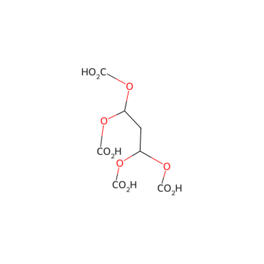 O=C(O)OC(CC(OC(=O)O)OC(=O)O)OC(=O)O